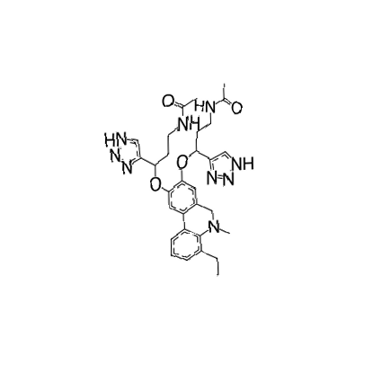 CCc1cccc2c1N(C)Cc1cc(OC(CCNC(C)=O)c3c[nH]nn3)c(OC(CCNC(C)=O)c3c[nH]nn3)cc1-2